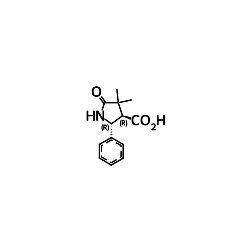 CC1(C)C(=O)N[C@@H](c2ccccc2)[C@@H]1C(=O)O